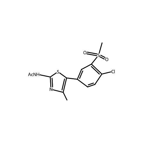 CC(=O)Nc1nc(C)c(-c2ccc(Cl)c(S(C)(=O)=O)c2)s1